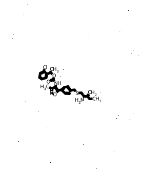 C=C(CC)[C@H](N)CSCc1ccc(-c2onc(C)c2NC(=O)OC(C)c2ccccc2Cl)cc1